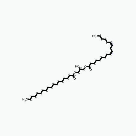 CCCCC/C=C\C/C=C\CCCCCCCC(=O)OCC(O)COC(=O)CCCCCCCCCCCCCCCCC